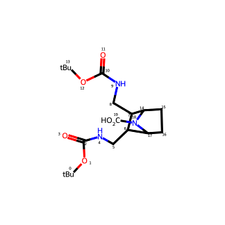 CC(C)(C)OC(=O)NCC1C(CNC(=O)OC(C)(C)C)C2CCC1N2C(=O)O